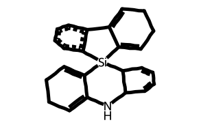 C1=CC2NC3=CCCC=C3[Si]3(C4=CCCC=C4c4ccccc43)C2C=C1